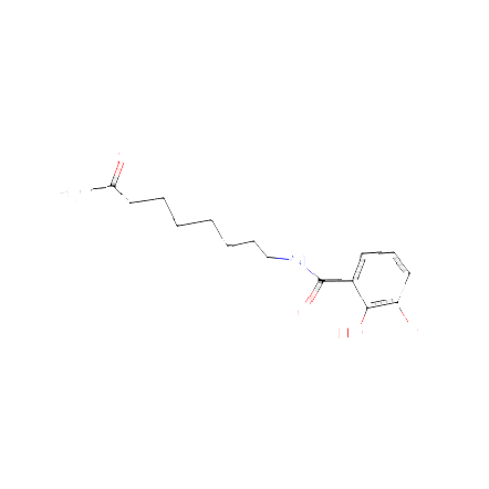 CC(=O)CCCCCCCNC(=O)c1cccc(O)c1O